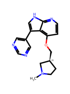 CN1CC[C@H](COc2ccnc3[nH]cc(-c4cncnc4)c23)C1